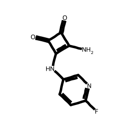 Nc1c(Nc2ccc(F)nc2)c(=O)c1=O